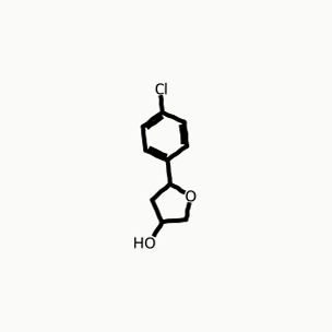 OC1COC(c2ccc(Cl)cc2)C1